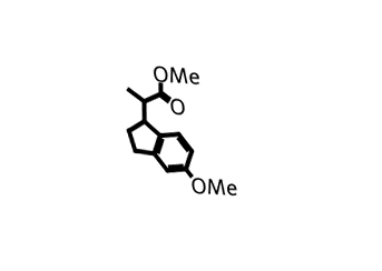 COC(=O)C(C)C1CCc2cc(OC)ccc21